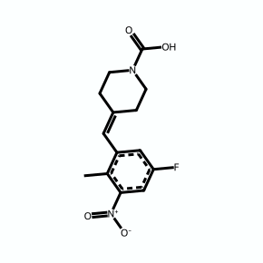 Cc1c(C=C2CCN(C(=O)O)CC2)cc(F)cc1[N+](=O)[O-]